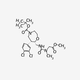 COC(=O)CN(C)C(=O)NC[C@H]1OCCN(C(=O)OC(C)(C)C)C[C@H]1c1ccc(Cl)c(Cl)c1